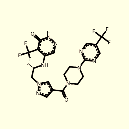 C[C@@H](Cn1cc(C(=O)N2CCN(c3ncc(C(F)(F)F)cn3)CC2)cn1)Nc1cn[nH]c(=O)c1C(F)(F)F